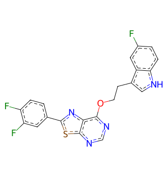 Fc1ccc2[nH]cc(CCOc3ncnc4sc(-c5ccc(F)c(F)c5)nc34)c2c1